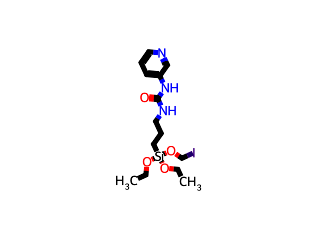 CCO[Si](CCCNC(=O)Nc1cccnc1)(OCC)OCI